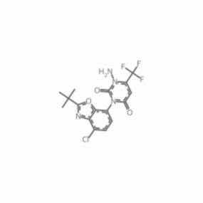 CC(C)(C)c1nc2c(Cl)ccc(-n3c(=O)cc(C(F)(F)F)n(N)c3=O)c2o1